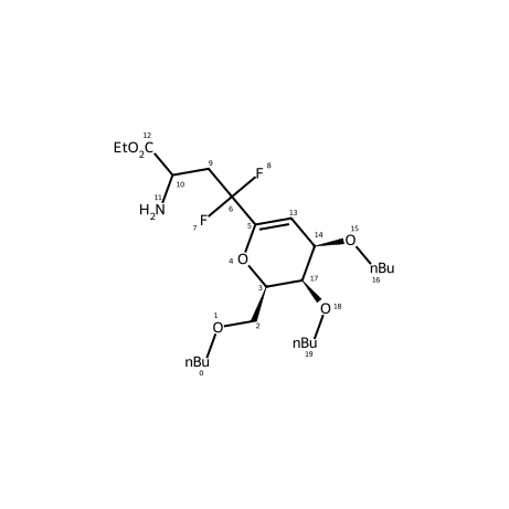 CCCCOC[C@H]1OC(C(F)(F)CC(N)C(=O)OCC)=C[C@@H](OCCCC)[C@H]1OCCCC